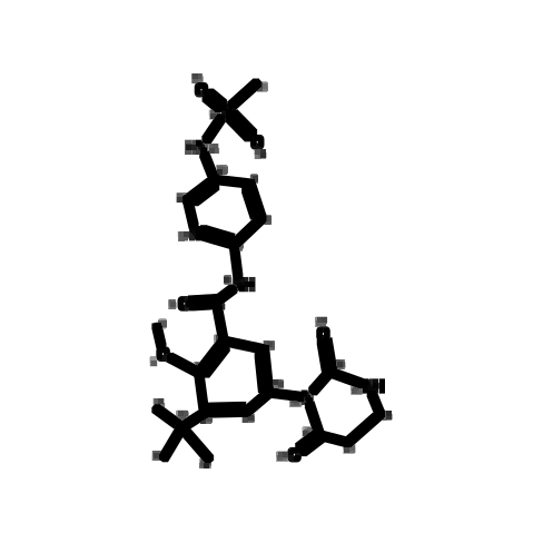 COc1c(C(=O)Nc2ccc(NS(C)(=O)=O)cn2)cc(N2C(=O)CCNC2=O)cc1C(C)(C)C